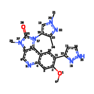 COc1cc2ncc3c(c2cc1-c1cc[nH]n1)n(-c1cn(C)nc1C)c(=O)n3C